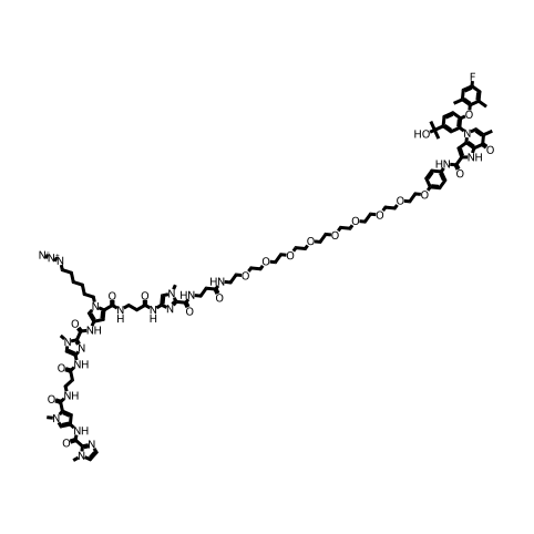 Cc1cc(F)cc(C)c1Oc1ccc(C(C)(C)O)cc1-n1cc(C)c(=O)c2[nH]c(C(=O)Nc3ccc(OCCOCCOCCOCCOCCOCCOCCOCCOCCNC(=O)CCNC(=O)c4nc(NC(=O)CCNC(=O)c5cc(NC(=O)c6nc(NC(=O)CCNC(=O)c7cc(NC(=O)c8nccn8C)cn7C)cn6C)cn5CCCCCCN=[N+]=[N-])cn4C)cc3)cc21